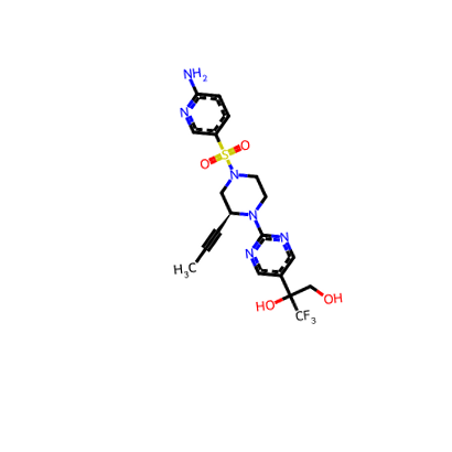 CC#C[C@H]1CN(S(=O)(=O)c2ccc(N)nc2)CCN1c1ncc(C(O)(CO)C(F)(F)F)cn1